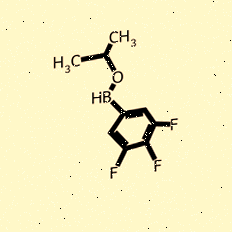 CC(C)OBc1cc(F)c(F)c(F)c1